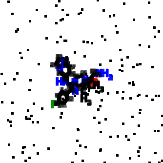 CC1(C)c2nc(-c3ccc(F)cc3)c(Nc3ccc4nccn4c3)n2CCN1C(=O)CN